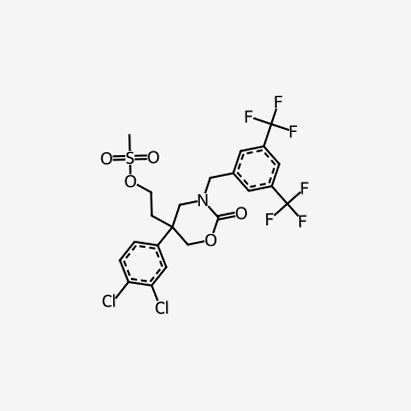 CS(=O)(=O)OCCC1(c2ccc(Cl)c(Cl)c2)COC(=O)N(Cc2cc(C(F)(F)F)cc(C(F)(F)F)c2)C1